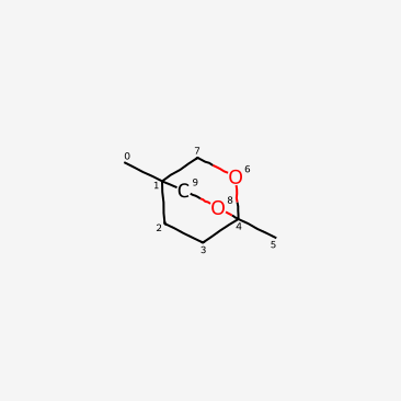 CC12CCC(C)(OC1)OC2